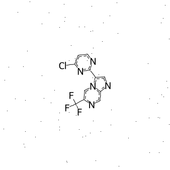 FC(F)(F)c1cn2c(-c3nccc(Cl)n3)cnc2cn1